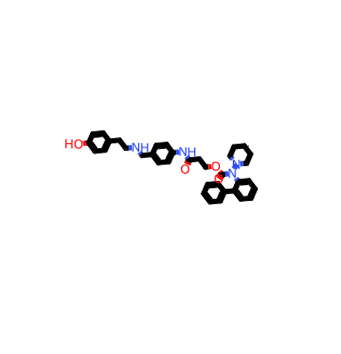 O=C(CCOC(=O)N(c1ccccc1-c1ccccc1)N1CC[CH]CC1)Nc1ccc(CNCCc2ccc(O)cc2)cc1